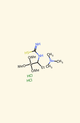 CCC(NC(=N)S)[Si](OC)(OC)OC.CN(C)C.Cl.Cl